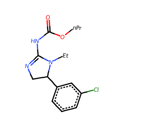 CCCOC(=O)NC1=NCC(c2cccc(Cl)c2)N1CC